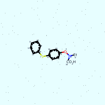 CCN(Oc1ccc(Sc2ccccc2)cc1)C(=O)O